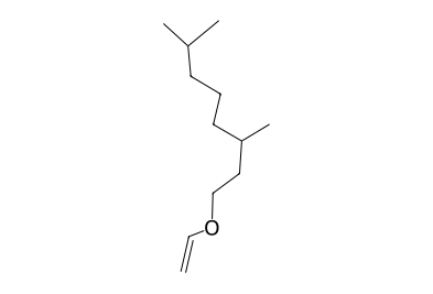 C=COCCC(C)CCCC(C)C